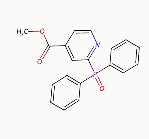 COC(=O)c1ccnc(P(=O)(c2ccccc2)c2ccccc2)c1